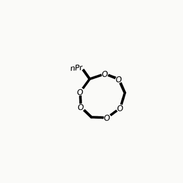 CCCC1OOCOOCOO1